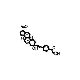 CC(=O)[C@H]1CC[C@H]2[C@@H]3CCC4CC(O)(C#Cc5ccc(C(=O)CO)cc5)CC[C@]4(C)[C@H]3CC[C@]12C